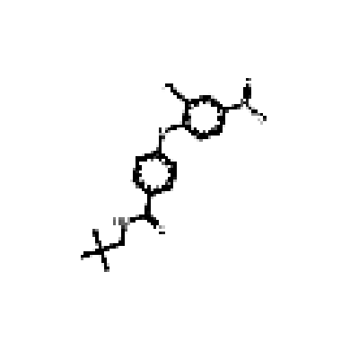 CC(C)(C)CNC(=O)c1ccc(Oc2ccc([N+](=O)[O-])cc2Cl)cc1